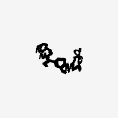 CCCC(CC(=O)OCC)n1ccc2cc(C(CC)c3ccc4cccnc4n3)ccc21